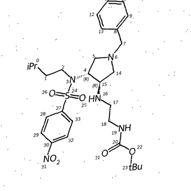 CC(C)CCN([C@@H]1CN(Cc2ccccc2)C[C@H]1NCCNC(=O)OC(C)(C)C)S(=O)(=O)c1ccc([N+](=O)[O-])cc1